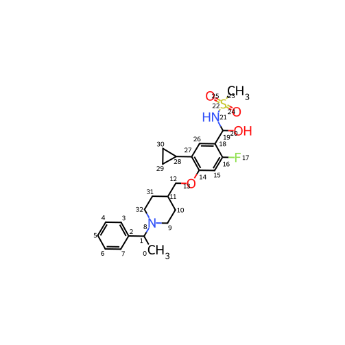 CC(c1ccccc1)N1CCC(COc2cc(F)c(C(O)NS(C)(=O)=O)cc2C2CC2)CC1